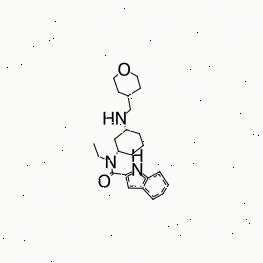 CCN(C(=O)c1cc2ccccc2[nH]1)[C@H]1CCC[C@@H](NCC2CCOCC2)C1